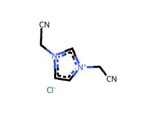 N#CCn1cc[n+](CC#N)c1.[Cl-]